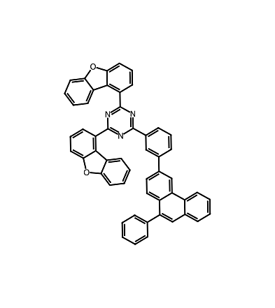 c1ccc(-c2cc3ccccc3c3cc(-c4cccc(-c5nc(-c6cccc7oc8ccccc8c67)nc(-c6cccc7oc8ccccc8c67)n5)c4)ccc23)cc1